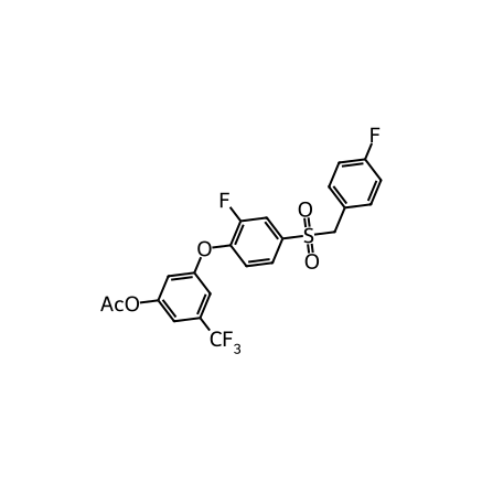 CC(=O)Oc1cc(Oc2ccc(S(=O)(=O)Cc3ccc(F)cc3)cc2F)cc(C(F)(F)F)c1